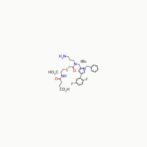 CC(C)(C)[C@H](c1cc(-c2cc(F)ccc2F)cn1Cc1ccccc1)N(CCCN)C(=O)CSC[C@H](NC(=O)CCC(=O)O)C(=O)O